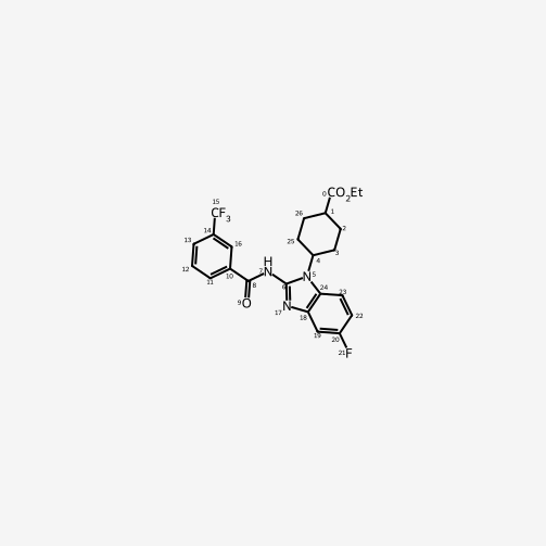 CCOC(=O)C1CCC(n2c(NC(=O)c3cccc(C(F)(F)F)c3)nc3cc(F)ccc32)CC1